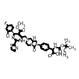 COC(=O)C1=C(CN2CCN3C(=O)N(c4ccc(C(NC(=O)OC(C)(C)C)C(=O)O)cc4)C[C@@H]3C2)NC(c2nccs2)=N[C@H]1c1ccc(F)cc1Cl